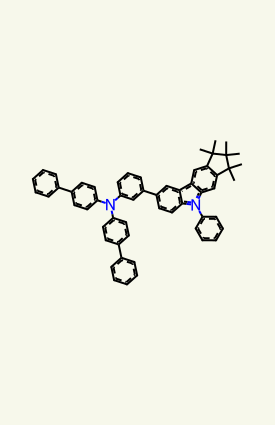 CC1(C)c2cc3c4cc(-c5cccc(N(c6ccc(-c7ccccc7)cc6)c6ccc(-c7ccccc7)cc6)c5)ccc4n(-c4ccccc4)c3cc2C(C)(C)C1(C)C